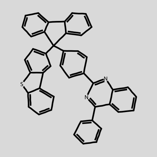 c1ccc(-c2nc(-c3ccc(C4(c5ccc6sc7ccccc7c6c5)c5ccccc5-c5ccccc54)cc3)nc3ccccc23)cc1